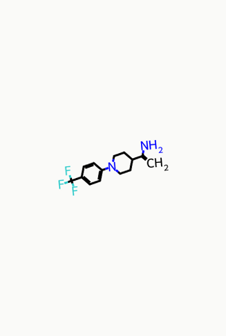 C=C(N)C1CCN(c2ccc(C(F)(F)F)cc2)CC1